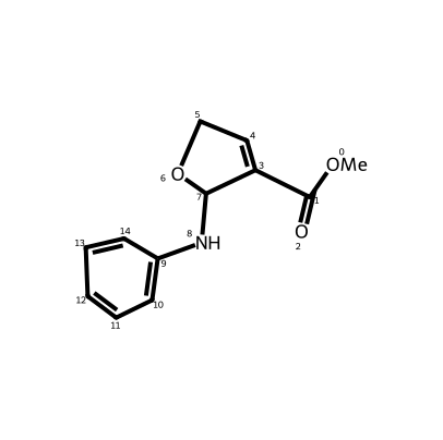 COC(=O)C1=CCOC1Nc1ccccc1